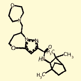 CC12CCC(C1)C(C)(C)C2NC(=O)c1cc2n(n1)C(CN1CCOCC1)CCO2